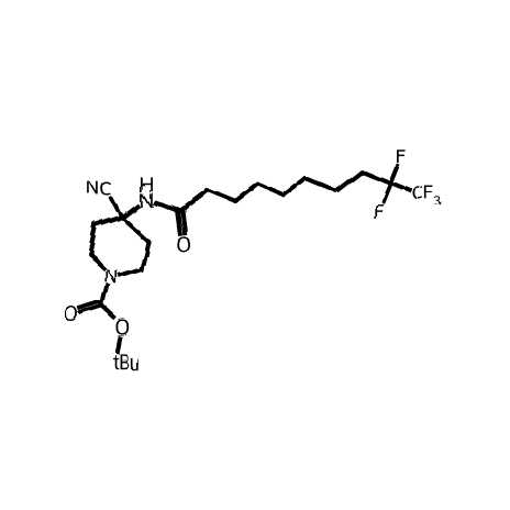 CC(C)(C)OC(=O)N1CCC(C#N)(NC(=O)CCCCCCCC(F)(F)C(F)(F)F)CC1